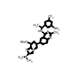 COc1cc(-c2ccc3nc(C)nc(NC(C)c4cc(N)cc(C(F)(F)F)c4)c3c2)cn2cc(N(C)C)nc12